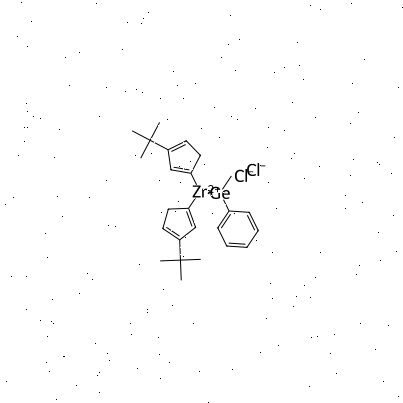 [CH3][Ge]([c]1ccccc1)=[Zr+2]([C]1=CC(C(C)(C)C)=CC1)[C]1=CC(C(C)(C)C)=CC1.[Cl-].[Cl-]